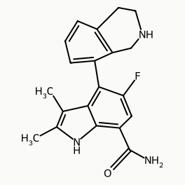 Cc1[nH]c2c(C(N)=O)cc(F)c(-c3cccc4c3CNCC4)c2c1C